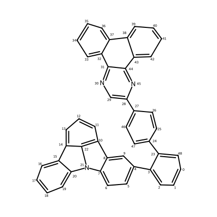 c1ccc(-c2ccc3c(c2)c2cccc4c5ccccc5n3c42)c(-c2ccc(-c3cnc4c5ccccc5c5ccccc5c4n3)cc2)c1